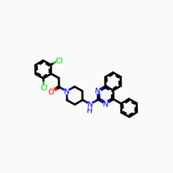 O=C(Cc1c(Cl)cccc1Cl)N1CCC(Nc2nc(-c3ccccc3)c3ccccc3n2)CC1